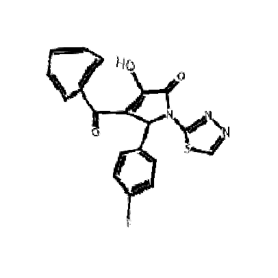 O=C(C1=C(O)C(=O)N(c2nncs2)C1c1ccc(F)cc1)c1ccccc1